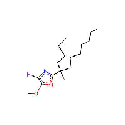 CCCCCCCC(C)(CCCC)c1nc(I)c(OC)o1